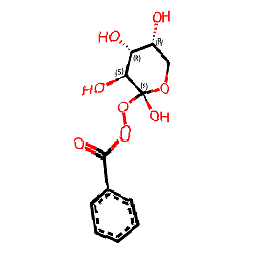 O=C(OO[C@@]1(O)OC[C@@H](O)[C@@H](O)[C@@H]1O)c1ccccc1